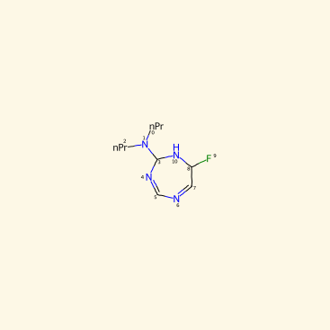 CCCN(CCC)C1N=CN=CC(F)N1